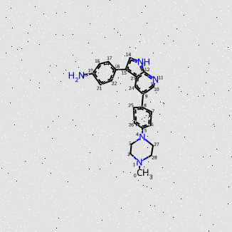 CN1CCN(c2ccc(-c3cnc4[nH]cc(-c5ccc(N)cc5)c4c3)cc2)CC1